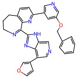 c1ccc(COc2cncc(-c3ccc4c(n3)C(c3nc5c(-c6ccoc6)cncc5[nH]3)=NCCC4)c2)cc1